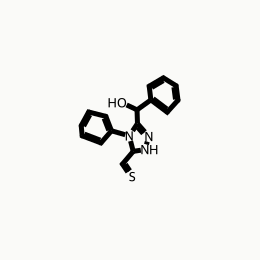 OC(C1=NNC(C=S)N1c1ccccc1)c1ccccc1